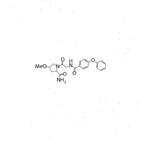 COC1CC(C(N)=O)N(C(=O)CNC(=O)c2ccc(Oc3ccccc3)cc2)C1